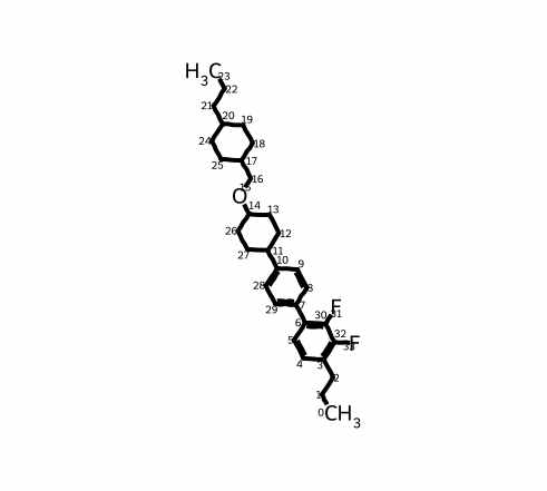 CCCc1ccc(-c2ccc(C3CCC(OCC4CCC(CCC)CC4)CC3)cc2)c(F)c1F